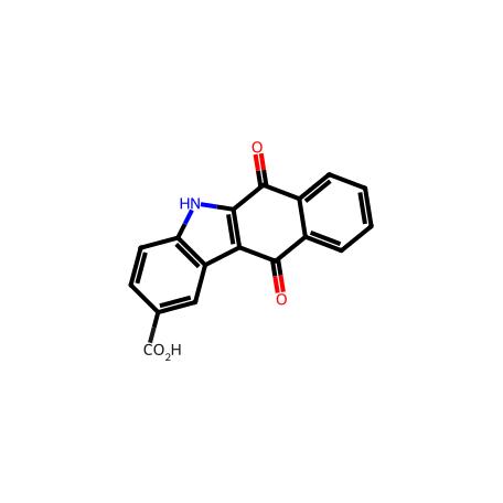 O=C(O)c1ccc2[nH]c3c(c2c1)C(=O)c1ccccc1C3=O